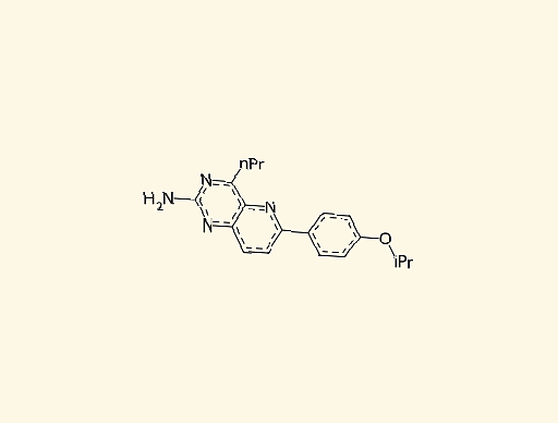 CCCc1nc(N)nc2ccc(-c3ccc(OC(C)C)cc3)nc12